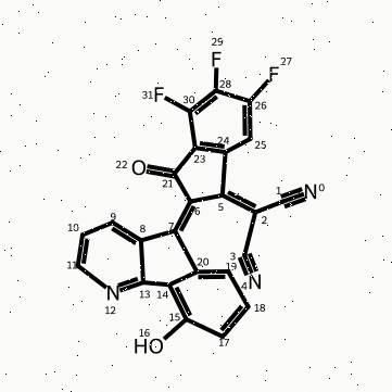 N#CC(C#N)=C1/C(=C2/c3cccnc3-c3c(O)cccc32)C(=O)c2c1cc(F)c(F)c2F